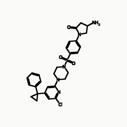 NC1CC(=O)N(c2ccc(S(=O)(=O)N3CCN(c4cc(C5(c6ccccc6)CC5)cc(Cl)n4)CC3)cc2)C1